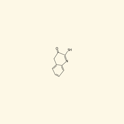 O=C1Cc2ccccc2N=C1S